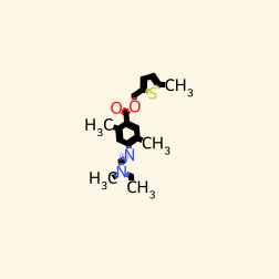 CCN(C)/C=N/c1cc(C)c(C(=O)OCc2ccc(C)s2)cc1C